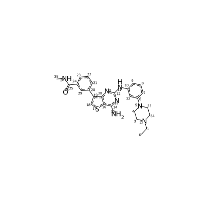 CCN1CCN(c2cccc(Nc3nc(N)c4scc(-c5cccc(C(=O)NC)c5)c4n3)c2)CC1